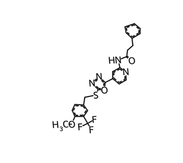 COc1ccc(CSc2nnc(-c3ccnc(NC(=O)CCc4ccccc4)c3)o2)cc1C(F)(F)F